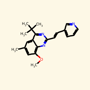 COc1cc(C)cc2c(C(C)(C)C)nc(/C=C/c3cccnc3)nc12